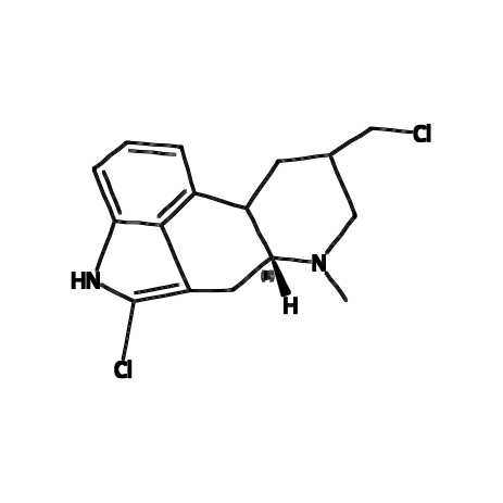 CN1CC(CCl)CC2c3cccc4[nH]c(Cl)c(c34)C[C@H]21